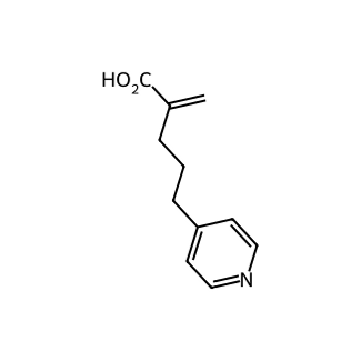 C=C(CCCc1ccncc1)C(=O)O